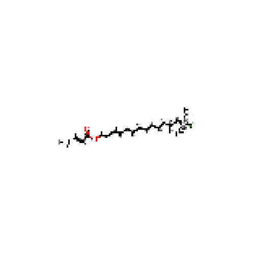 CC=CC(=O)OCCCCCCCCCCCCC[Si](C)(C)Cl